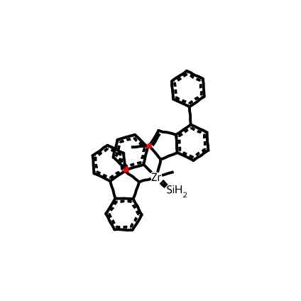 CC1=Cc2c(-c3ccccc3)cccc2[CH]1[Zr]([CH3])(=[SiH2])([c]1ccccc1)[CH]1c2ccccc2-c2ccccc21